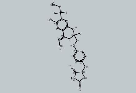 CC(C)(C)CC(C)(C)c1cc2c(cc1O)C(=NO)CC(C)(COc1ccc(CC3SC(=O)NC3=O)cc1)O2